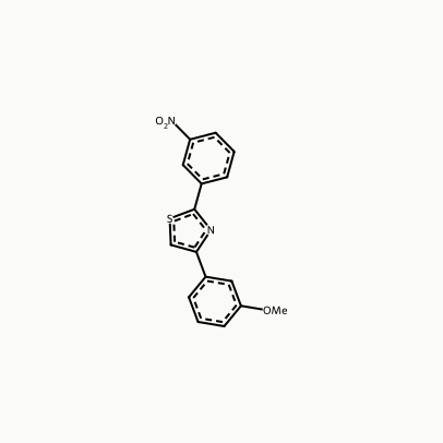 COc1cccc(-c2csc(-c3cccc([N+](=O)[O-])c3)n2)c1